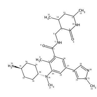 Cc1c(C(=O)NCC2C(=O)NC(C)CC2C)cc(-c2cnn(C)c2)cc1N(C)[C@H]1CC[C@H](N)CC1